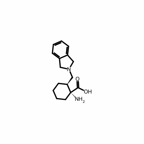 N[C@]1(C(=O)O)CCCC[C@H]1CN1Cc2ccccc2C1